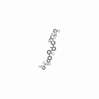 Cc1c(-c2ccn3c(=O)c(CNC[C@@H]4CCC(=O)N4)cnc3c2)cccc1-c1cccc(-c2ccc3c(c2)C[C@@H](NC(=O)[C@H]2CCCN2)C3)c1Cl